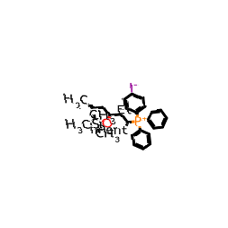 C=CCC(O[Si](C)(C)C)C(CC)C(CCCCC)[P+](c1ccccc1)(c1ccccc1)c1ccccc1.[I-]